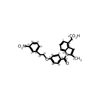 Cc1cc2c(CC(=O)O)cccc2n1C(=O)c1ccc(OCCc2cccc([N+](=O)[O-])c2)cc1